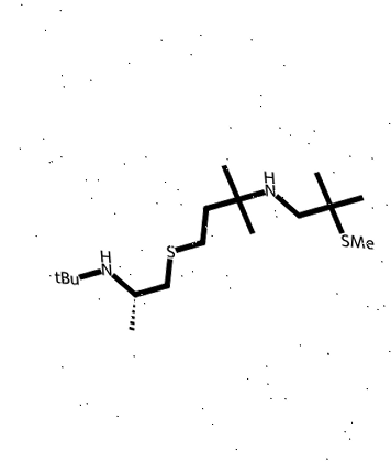 CSC(C)(C)CNC(C)(C)CCSC[C@H](C)NC(C)(C)C